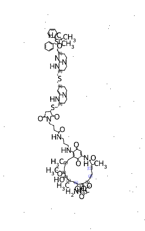 CO[C@H]1/C=C\C=C(/C)C(=O)NC2=CC(=O)C(NCCCNC(=O)CCCN3C(=O)CC(SC[C@H]4CCN5CC[C@@H](CSC[C@H]6CCN7CC[C@H](CO[Si](c8ccccc8)(c8ccccc8)C(C)(C)C)N=C7N6)C=C5N4)C3=O)=C(C[C@@H](C)C[C@H](OC)[C@H](O)[C@@H](C)/C=C(\C)[C@@H]1OC(N)=O)C2=O